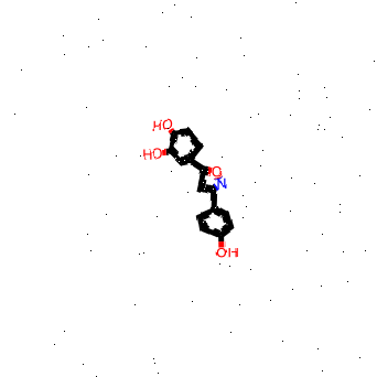 Oc1ccc(-c2cc(-c3ccc(O)c(O)c3)on2)cc1